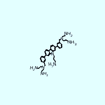 NCCCn1c2cc(-c3cccc(CN(CCN)CCN)c3)ccc2c2ccc(-c3cccc(CN(CCN)CCN)c3)cc21